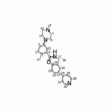 Cc1ccc(N2CCN(C)CC2)cc1C(=O)N[C@H](C)c1cccc(-c2ccncc2)c1